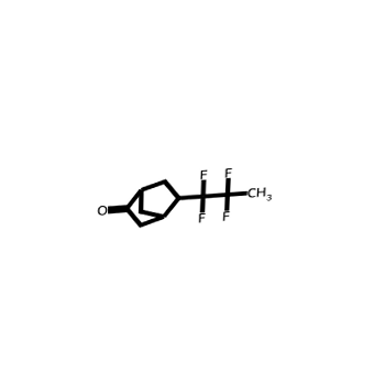 CC(F)(F)C(F)(F)C1CC2CC1CC2=O